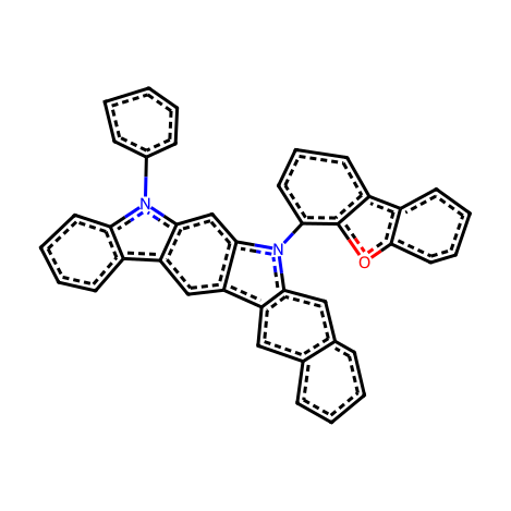 c1ccc(-n2c3ccccc3c3cc4c5cc6ccccc6cc5n(-c5cccc6c5oc5ccccc56)c4cc32)cc1